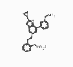 NCc1cccc(-c2cc(CCc3ccccc3CC(=O)O)cc3cc(C4CC4)oc23)c1